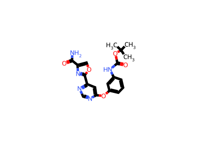 CC(C)(C)OC(=O)Nc1cccc(Oc2cc(-c3nc(C(N)=O)co3)ncn2)c1